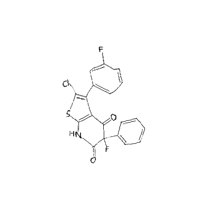 O=C1Nc2sc(Cl)c(-c3cccc(F)c3)c2C(=O)C1(F)c1ccccc1